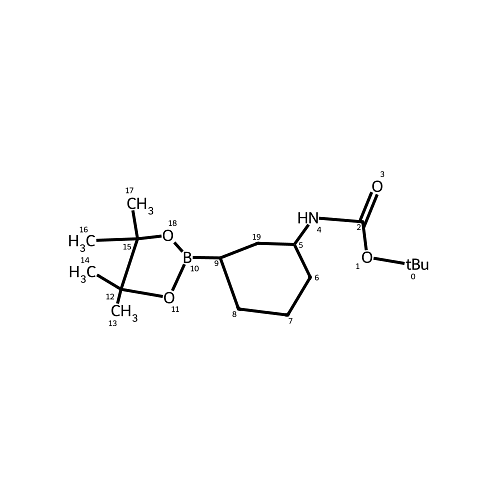 CC(C)(C)OC(=O)NC1CCCC(B2OC(C)(C)C(C)(C)O2)C1